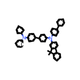 CC1(C)c2ccccc2-c2ccc(N(c3ccc(-c4ccccc4)cc3)c3ccc(-c4ccc(N(c5ccccc5)c5ccccc5)cc4)cc3)cc21